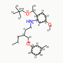 CCCC(CCNc1cc(OC)ccc1C(C)OCC(C)(C)C)COc1cccc(C)c1